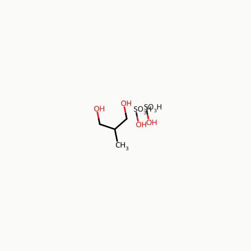 CC(CO)CO.O=S(=O)(O)O.O=S(=O)(O)O